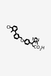 Cc1c(Cl)cccc1-c1cccc(COc2ccc([C@H](CC(=O)O)c3ncnn3C)cc2)c1